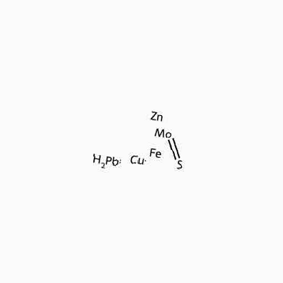 [Cu].[Fe].[PbH2].[S]=[Mo].[Zn]